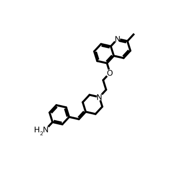 Cc1ccc2c(OCCN3CCC(=Cc4cccc(N)c4)CC3)cccc2n1